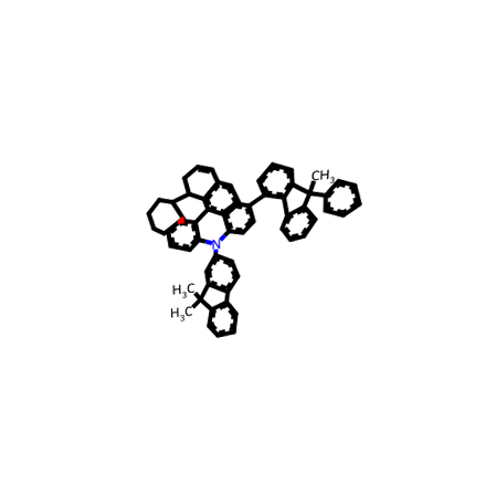 CC1(C)c2ccccc2-c2ccc(N(c3ccc(-c4cccc5c4-c4ccccc4C5(C)c4ccccc4)cc3)c3ccccc3-c3cccc4c3C(C3CCCCC3)CC=C4)cc21